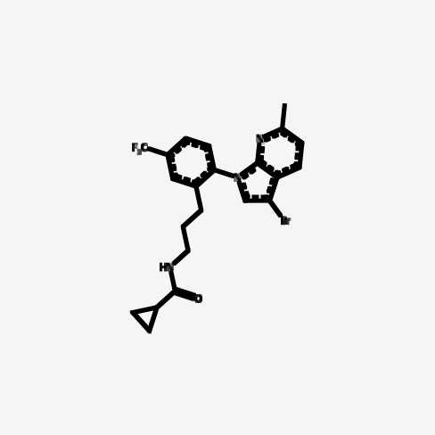 Cc1ccc2c(Br)cn(-c3ccc(C(F)(F)F)cc3CCCNC(=O)C3CC3)c2n1